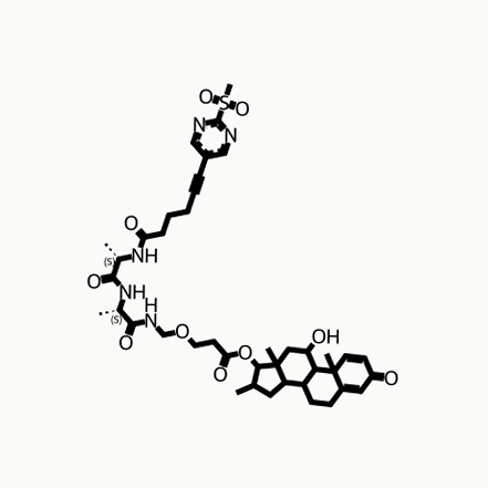 CC1CC2C3CCC4=CC(=O)C=CC4(C)C3C(O)CC2(C)C1OC(=O)CCOCNC(=O)[C@H](C)NC(=O)[C@H](C)NC(=O)CCCC#Cc1cnc(S(C)(=O)=O)nc1